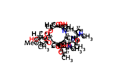 CC[C@H]1OC(=O)[C@H](C)[C@@H](O[C@H]2C[C@@](C)(OC)[C@@H](O)[C@H](C)O2)[C@H](C)[C@@H](O[C@@H]2O[C@H](C)C[C@H](N(C)C[C@H]3N=C(c4cccn4C)OC3C)[C@H]2O)[C@](C)(O)C[C@@H](C)CN(C)[C@H](C)[C@@H](O)[C@]1(C)O